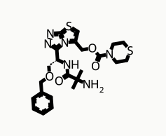 CC(C)(N)C(=O)N[C@H](COCc1ccccc1)c1nnc2scc(COC(=O)N3CCSCC3)n12